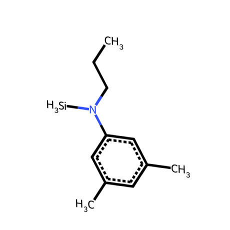 CCCN([SiH3])c1cc(C)cc(C)c1